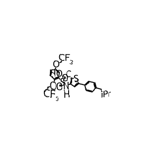 CC(C)Cc1ccc(-c2cc(NS(=O)(=O)c3cc(OCC(F)(F)F)ccc3OCC(F)(F)F)c(C(=O)O)s2)cc1